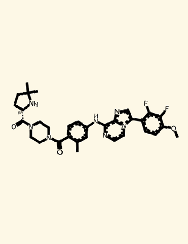 COc1ccc(-c2cnc3c(Nc4ccc(C(=O)N5CCN(C(=O)[C@@H]6CCC(C)(C)N6)CC5)c(C)c4)nccn23)c(F)c1F